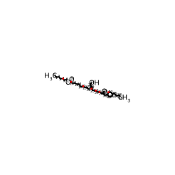 CCCCCCCOC(=O)CCCCCCCCCN(CCO)CCCCCC(=O)CC1CCC(CCCC)CC1